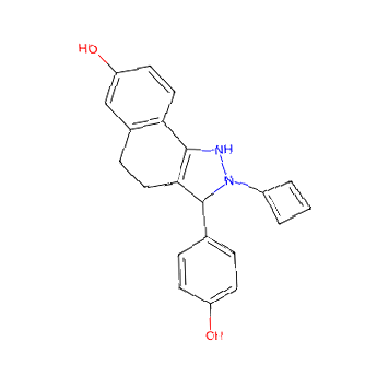 Oc1ccc(C2C3=C(NN2C2=CC=C2)c2ccc(O)cc2CC3)cc1